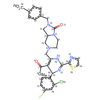 COC(=O)C1=C(CN2CCN3C(=O)N(Cc4ccc(C(=O)O)cc4)CC3C2)NC(c2nccs2)=N[C@H]1c1ccc(F)cc1Cl